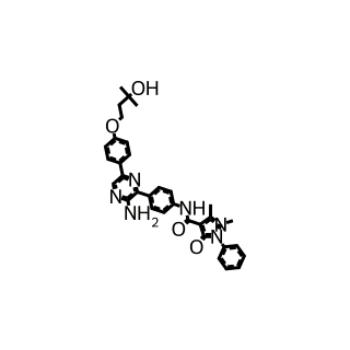 Cc1c(C(=O)Nc2ccc(-c3nc(-c4ccc(OCCC(C)(C)O)cc4)cnc3N)cc2)c(=O)n(-c2ccccc2)n1C